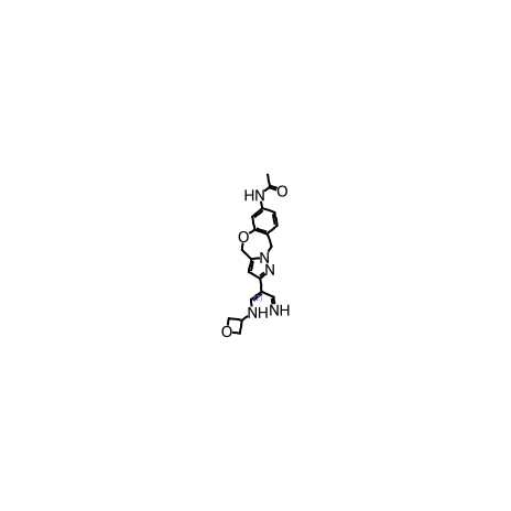 CC(=O)Nc1ccc2c(c1)OCc1cc(/C(C=N)=C/NC3COC3)nn1C2